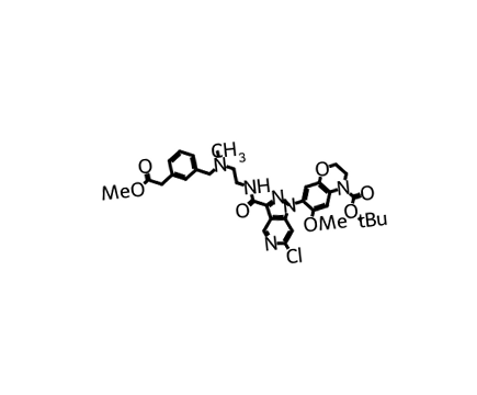 COC(=O)Cc1cccc(CN(C)CCNC(=O)c2nn(-c3cc4c(cc3OC)N(C(=O)OC(C)(C)C)CCO4)c3cc(Cl)ncc23)c1